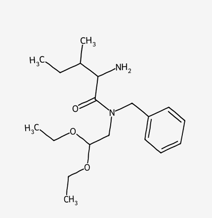 CCOC(CN(Cc1ccccc1)C(=O)C(N)C(C)CC)OCC